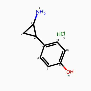 Cl.NC1CC1c1ccc(O)cc1